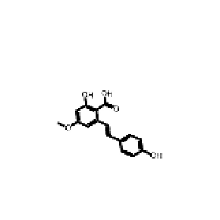 COc1cc(O)c(C(=O)O)c(/C=C/c2ccc(O)cc2)c1